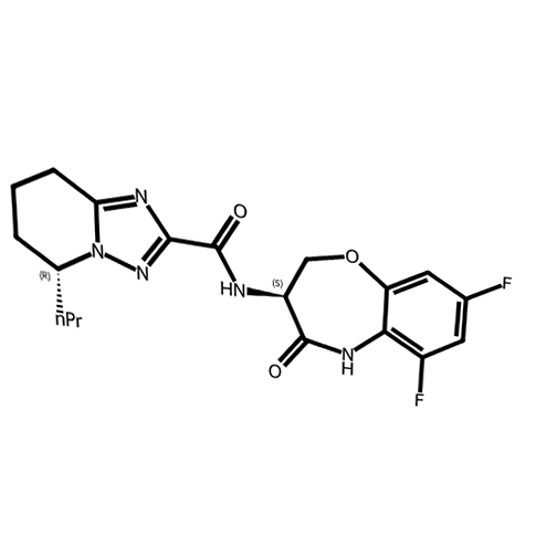 CCC[C@@H]1CCCc2nc(C(=O)N[C@H]3COc4cc(F)cc(F)c4NC3=O)nn21